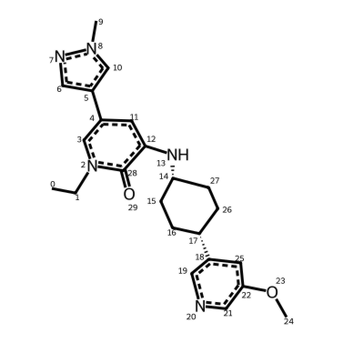 CCn1cc(-c2cnn(C)c2)cc(N[C@H]2CC[C@@H](c3cncc(OC)c3)CC2)c1=O